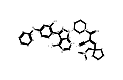 CN(C)CC1(/C=C(\C#N)C(=O)N2CCC[C@@H](n3nc(-c4ccc(Oc5ccccc5)cc4F)c4c(N)ncnc43)C2)CCCC1